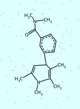 CC1=CC(c2cccc(C(=O)N(C)C)c2)C(C)=C(C)N1C